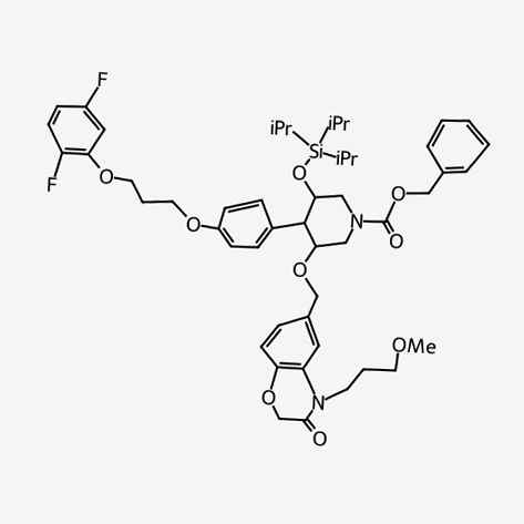 COCCCN1C(=O)COc2ccc(COC3CN(C(=O)OCc4ccccc4)CC(O[Si](C(C)C)(C(C)C)C(C)C)C3c3ccc(OCCCOc4cc(F)ccc4F)cc3)cc21